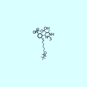 CSC1=NC(c2cc([N+](=O)[O-])ccc2SCCCCCO[Si](C)(C)C(C)(C)C)C(C(=O)O)=C(C)N1